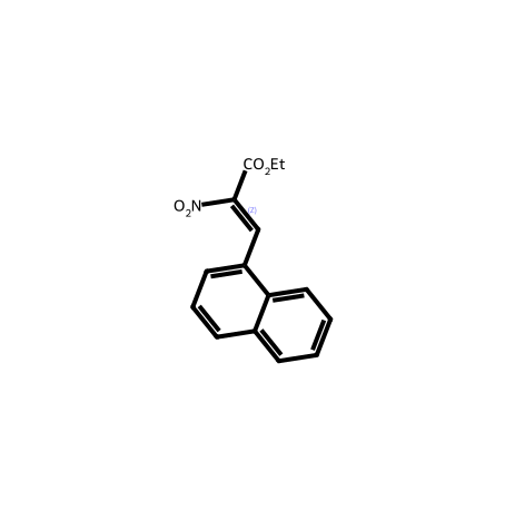 CCOC(=O)/C(=C/c1cccc2ccccc12)[N+](=O)[O-]